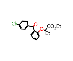 CCOC(=O)C(CC)Oc1ccccc1C(=O)c1ccc(Cl)cc1